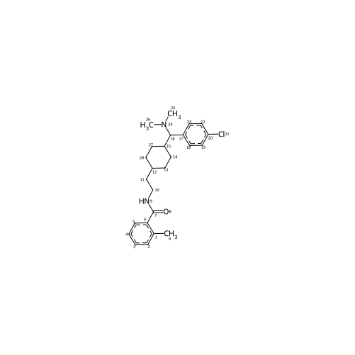 Cc1ccccc1C(=O)NCCC1CCC(C(c2ccc(Cl)cc2)N(C)C)CC1